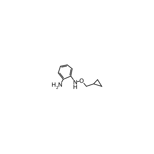 Nc1ccccc1NOCC1CC1